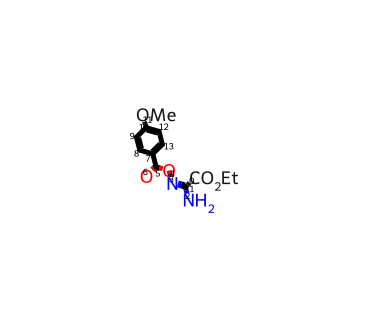 CCOC(=O)/C(N)=N\OC(=O)c1ccc(OC)cc1